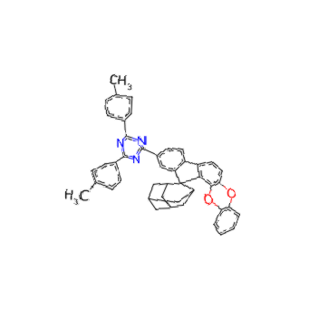 Cc1ccc(-c2nc(-c3ccc(C)cc3)nc(-c3ccc4c(c3)C3(c5c-4ccc4c5Oc5ccccc5O4)C4CC5CC(C4)CC3C5)n2)cc1